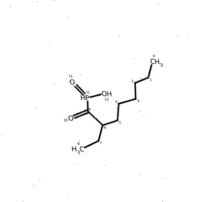 CCCCCCC(CC)C(=O)[PH](=O)O